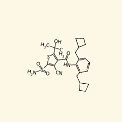 CC(C)(O)c1sc(S(N)(=O)=O)c(C#N)c1C(=O)Nc1c(CC2CCC2)cccc1CC1CCC1